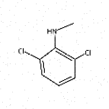 CNc1c(Cl)cccc1Cl